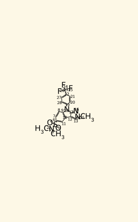 CN(C)S(=O)(=O)c1ccc2c(c1)c1cn(C)nc1n2-c1ccc(C(F)(F)F)cc1